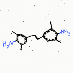 Cc1cc(/C=C/c2cc(C)c(N)c(C)c2)cc(C)c1N